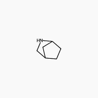 C1CC2CC1CN2